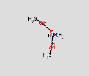 CCCCCCOC(=O)CC(=O)CCCCCCCCOCC(CN(C)C)OCCCCCCCCC(=O)CC(=O)OCCCCCC